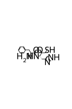 N[C@@H](Cc1ccccc1)C(=O)N[C@@H](Cc1c[nH]cn1)C(=O)CS